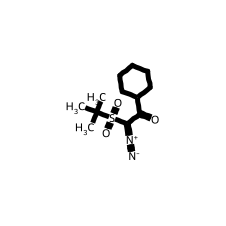 CC(C)(C)S(=O)(=O)C(=[N+]=[N-])C(=O)C1CCCCC1